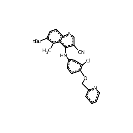 Cc1c(C(C)(C)C)ccc2ncc(C#N)c(Nc3ccc(OCc4ccccn4)c(Cl)c3)c12